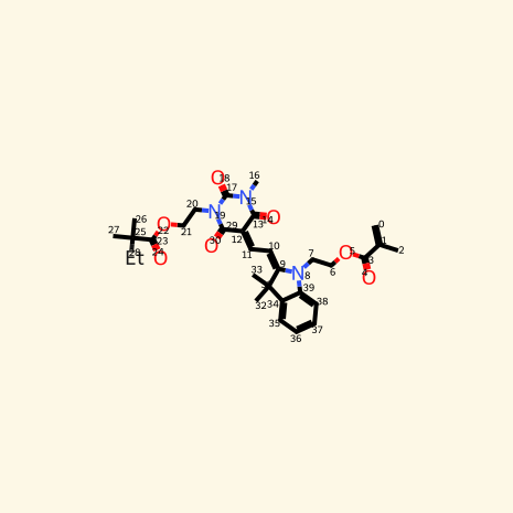 C=C(C)C(=O)OCCN1/C(=C/C=C2\C(=O)N(C)C(=O)N(CCOC(=O)C(C)(C)CC)C2=O)C(C)(C)c2ccccc21